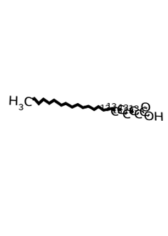 CCCCCCCCCCCCCCCC[13CH2][13CH2][13CH2][13CH2][13CH2][13C](=O)O